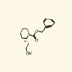 O=C(OCc1ccccc1)N1CCCC[C@H]1CCO